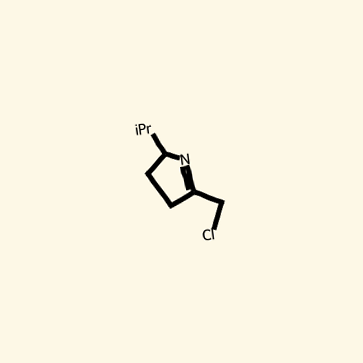 CC(C)C1CCC(CCl)=N1